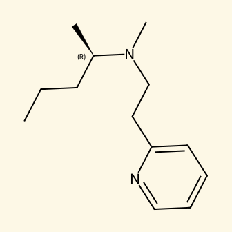 CCC[C@@H](C)N(C)CCc1ccccn1